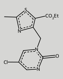 CCOC(=O)c1sc(C)nc1Cn1cc(Cl)cnc1=O